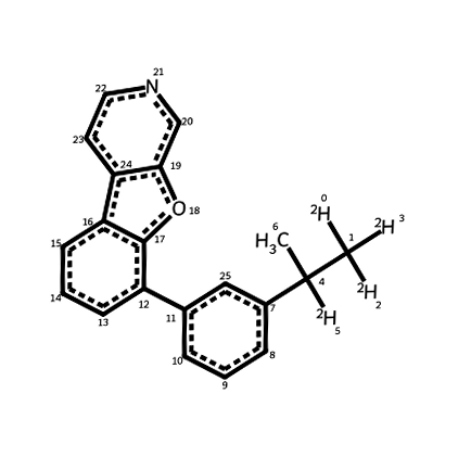 [2H]C([2H])([2H])C([2H])(C)c1cccc(-c2cccc3c2oc2cnccc23)c1